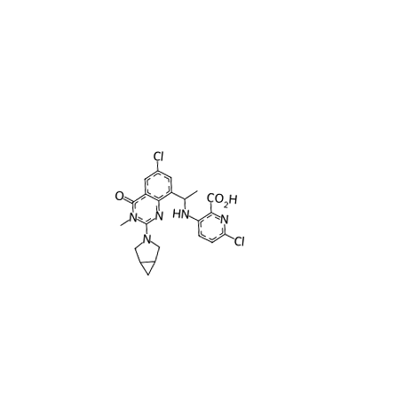 CC(Nc1ccc(Cl)nc1C(=O)O)c1cc(Cl)cc2c(=O)n(C)c(N3CC4CC4C3)nc12